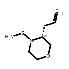 C=CC[C@@H]1COCCN1SN